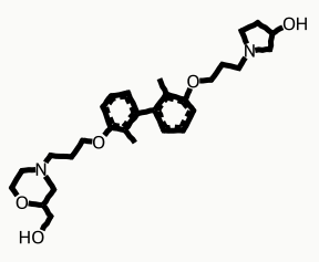 Cc1c(OCCCN2CCC(O)C2)cccc1-c1cccc(OCCCN2CCOC(CO)C2)c1C